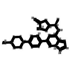 CC(=O)N1CCN(c2ccc(-c3cc(O[C@H](C)C4CNC(=O)C4)c4ccnn4c3)nc2)CC1